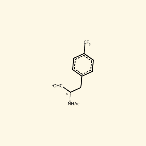 CC(=O)N[C@H]([C]=O)Cc1ccc(C(F)(F)F)cc1